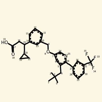 CC(C)(C)Cc1cc(OCc2cccc(C(CC(=O)O)C3CC3)c2)cnc1-c1cccc(C(F)(F)F)c1